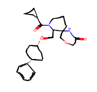 O=C1COCC2(CCCN(C(=O)C3CC3)C2CO[C@H]2CC[C@@H](c3ccccc3)CC2)N1